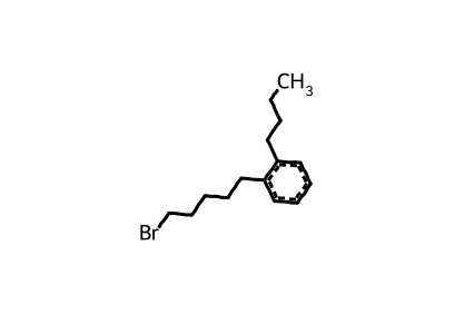 CCCCc1ccccc1CCCCCBr